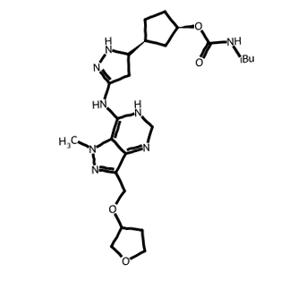 CCC(C)NC(=O)O[C@@H]1CC[C@H](C2CC(NC3=c4c(c(COC5CCOC5)nn4C)=NCN3)=NN2)C1